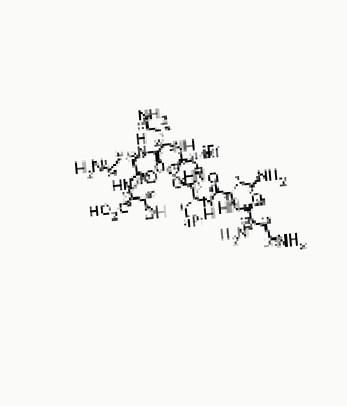 CC(C)C[C@@H](NC(=O)[C@H](CCN)NC(=O)[C@@H](N)CCN)C(=O)N[C@H](C(=O)N[C@@H](CCN)C(=O)N[C@@H](CCN)C(=O)N[C@@H](CO)C(=O)O)C(C)C